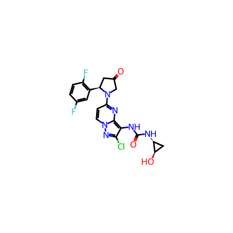 O=C1C[C@H](c2cc(F)ccc2F)N(c2ccn3nc(Cl)c(NC(=O)N[C@@H]4C[C@H]4O)c3n2)C1